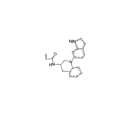 C=CC(=O)NC1Cc2ccccc2N(c2ccc3cc[nH]c3c2)C1